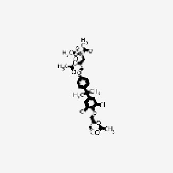 CC(=O)O[C@H](CCl)COc1c(Cl)cc(C(C)(C)c2ccc(OC[C@@H](CN(C(C)=O)S(C)(=O)=O)OC(C)=O)cc2)cc1Cl